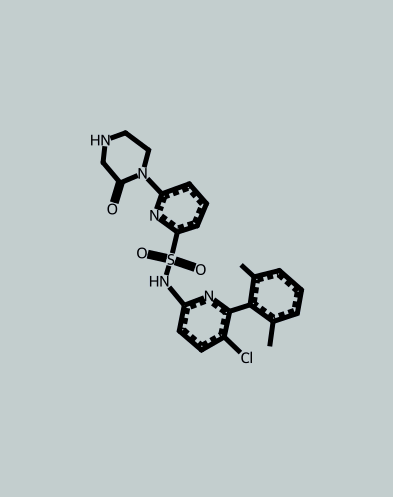 Cc1cccc(C)c1-c1nc(NS(=O)(=O)c2cccc(N3CCNCC3=O)n2)ccc1Cl